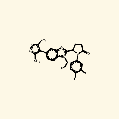 Cc1noc(C)c1-c1ccc2c(c1)nc(C1CCC(=O)N1c1ccc(F)c(F)c1)n2CC(C)C